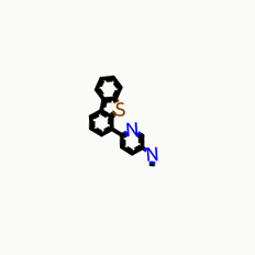 C=Nc1ccc(-c2cccc3c2sc2ccccc23)nc1